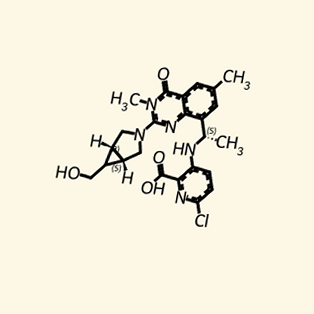 Cc1cc([C@H](C)Nc2ccc(Cl)nc2C(=O)O)c2nc(N3C[C@@H]4C(CO)[C@@H]4C3)n(C)c(=O)c2c1